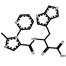 Cc1ncc(C(=O)NC(Cc2csc3cocc23)C(=O)C(N)=O)n1-c1ccccn1